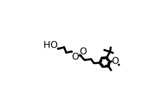 COc1c(C)cc(CCCC(=O)OCCCCO)cc1C(C)(C)C